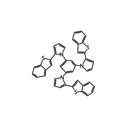 c1ccc2sc(-c3cccn3-c3cc(-n4cccc4-c4cc5ccccc5s4)cc(-n4cccc4-c4cc5ccccc5s4)c3)cc2c1